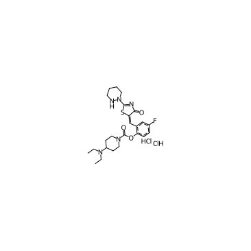 CCN(CC)C1CCN(C(=O)Oc2ccc(F)cc2/C=C2/SC(N3CCCCN3)=NC2=O)CC1.Cl.Cl